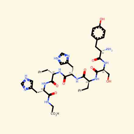 CC(C)C[C@H](NC(=O)[C@H](Cc1c[nH]cn1)NC(=O)[C@H](CC(C)C)NC(=O)[C@H](CO)NC(=O)[C@@H](N)Cc1ccc(O)cc1)C(=O)N[C@@H](Cc1c[nH]cn1)C(=O)NCC(=O)O